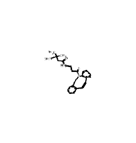 CNC(C)(C)CC(=O)NCCC(=O)N1Cc2ccccc2C#Cc2ccccc21